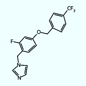 Fc1cc(OCc2ccc(C(F)(F)F)cc2)ccc1Cn1ccnc1